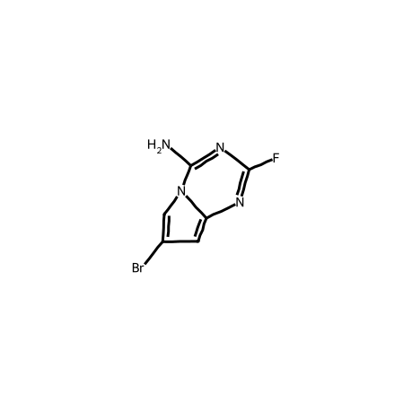 Nc1nc(F)nc2cc(Br)cn12